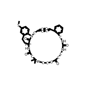 CSc1ccc2c(c1)CC[C@H]1NC(=O)CC(C)(C)NCCOC(=O)CCNC(=O)NCc3ccccc3-c3ccc(cc3)CN2C1=O